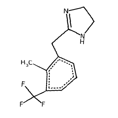 Cc1c(CC2=NCCN2)cccc1C(F)(F)F